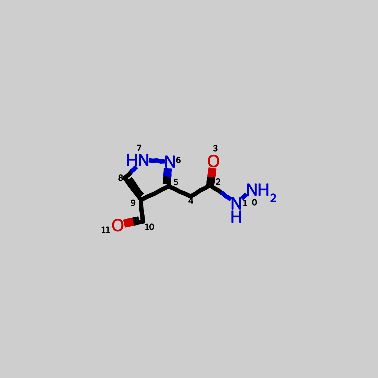 NNC(=O)Cc1n[nH]cc1C=O